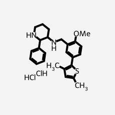 COc1ccc(-c2sc(C)cc2C)cc1CNC1CCCNC1c1ccccc1.Cl.Cl